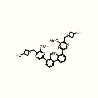 COc1nc(-c2cccc(-c3cccc(-c4cnc(CN5CC(O)C5)c(OC)n4)c3Br)c2F)cnc1CN1CC(O)C1